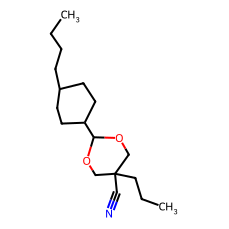 CCCCC1CCC(C2OCC(C#N)(CCC)CO2)CC1